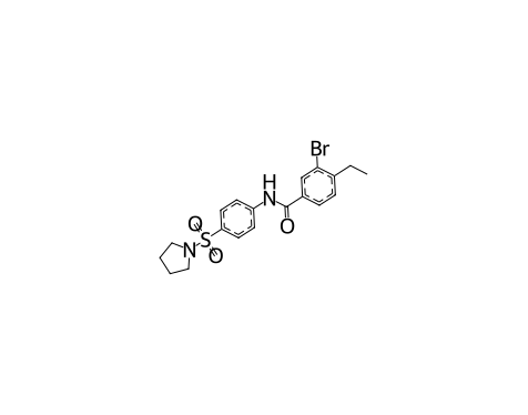 CCc1ccc(C(=O)Nc2ccc(S(=O)(=O)N3CCCC3)cc2)cc1Br